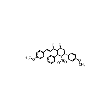 COC1=CCC([C@H]2CC(=O)C(C(=O)/C=C/c3ccc(OC)cc3)[C@H](c3ccccc3)[C@H]2[N+](=O)[O-])C=C1